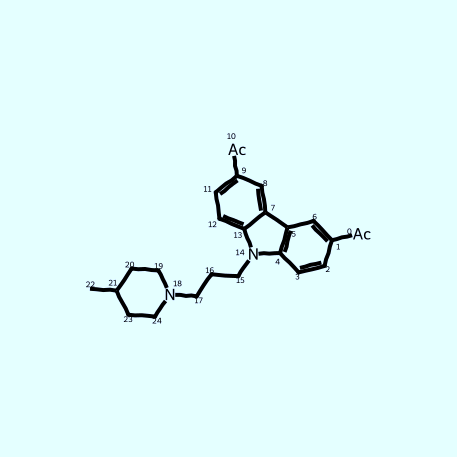 CC(=O)c1ccc2c(c1)c1cc(C(C)=O)ccc1n2CCCN1CCC(C)CC1